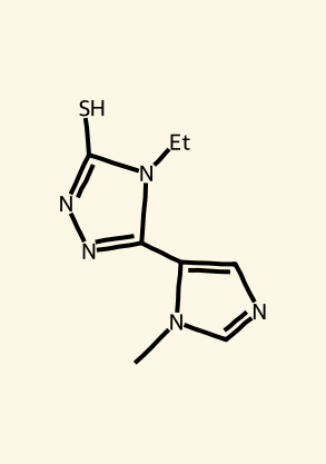 CCn1c(S)nnc1-c1cncn1C